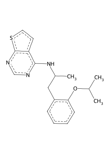 CC(Cc1ccccc1OC(C)C)Nc1ncnc2sccc12